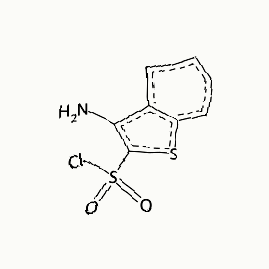 Nc1c(S(=O)(=O)Cl)sc2ccccc12